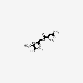 C[C@@H](O)[C@H](NC(=O)CNC(=O)[C@@H](N)CC(N)=O)C(=O)O